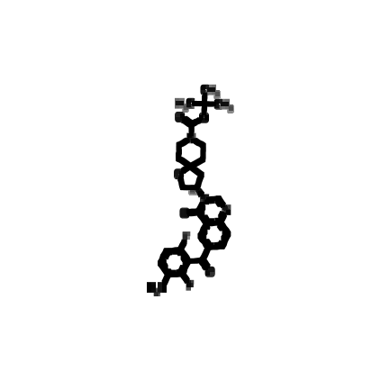 CC(C)(C)OC(=O)N1CCC2(CC1)C[C@@H](n1cnc3ccc(C(=O)c4c(F)ccc(N)c4F)cc3c1=O)CO2